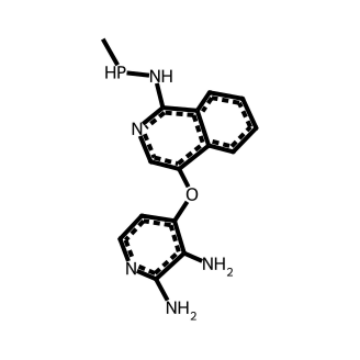 CPNc1ncc(Oc2ccnc(N)c2N)c2ccccc12